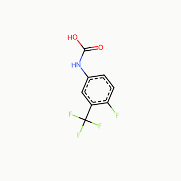 O=C(O)Nc1ccc(F)c(C(F)(F)F)c1